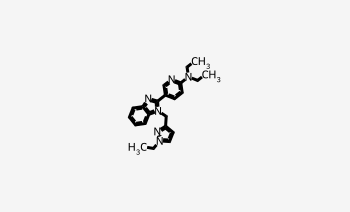 CCN(CC)c1ccc(-c2nc3ccccc3n2Cc2ccn(CC)n2)cn1